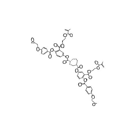 C=C(C)C(=O)OCCOC(=O)c1cc(OC(=O)C2CCCC(C(=O)Oc3ccc(OC(=O)c4ccc(OCC5CO5)cc4)c(C(=O)OCCOC(=O)C(=C)C)c3)CC2)ccc1OC(=O)c1ccc(OCC2CO2)cc1